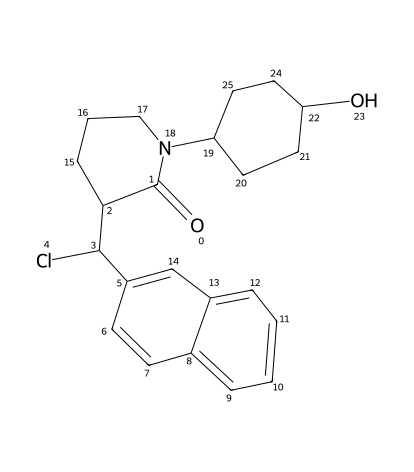 O=C1C(C(Cl)c2ccc3ccccc3c2)CCCN1C1CCC(O)CC1